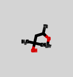 CCC(CC(C)(C)O)OC(C)C